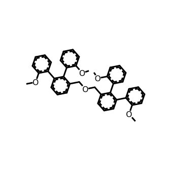 COc1ccccc1-c1cccc(COCc2cccc(-c3ccccc3OC)c2-c2ccccc2OC)c1-c1ccccc1OC